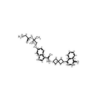 CC(C)(COc1ccc2c(C(=O)N[C@H]3CC4(C3)C[C@H](c3n[nH]c(=O)c5ccccc53)C4)cnn2c1)OC(=O)CN